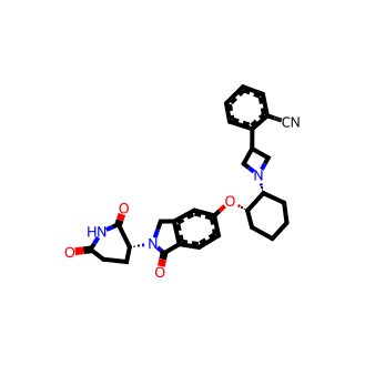 N#Cc1ccccc1C1CN([C@@H]2CCCC[C@@H]2Oc2ccc3c(c2)CN([C@@H]2CCC(=O)NC2=O)C3=O)C1